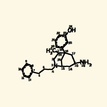 C[C@@H]1CN(CCCc2ccccc2)C2CC(N)CC1(c1cccc(O)c1)C2